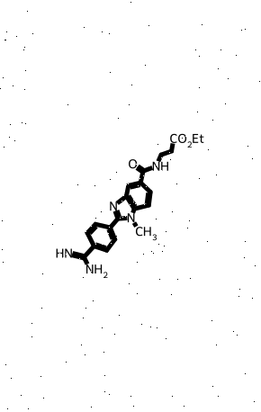 CCOC(=O)CCNC(=O)c1ccc2c(c1)nc(-c1ccc(C(=N)N)cc1)n2C